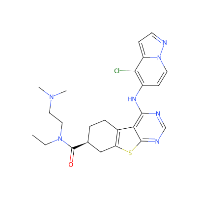 CCN(CCN(C)C)C(=O)[C@H]1CCc2c(sc3ncnc(Nc4ccn5nccc5c4Cl)c23)C1